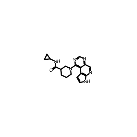 O=C(NC1CC1)C1CCCN(c2ncnc3cnc4[nH]ccc4c23)C1